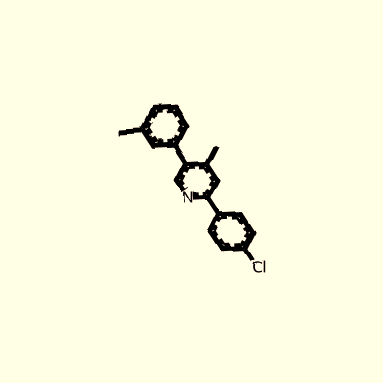 Cc1cccc(-c2cnc(-c3ccc(Cl)cc3)cc2C)c1